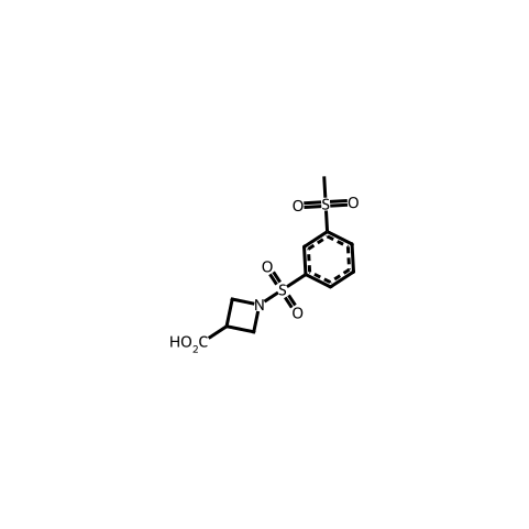 CS(=O)(=O)c1cccc(S(=O)(=O)N2CC(C(=O)O)C2)c1